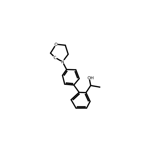 CC(O)c1ccccc1-c1ccc(N2CCOCC2)cc1